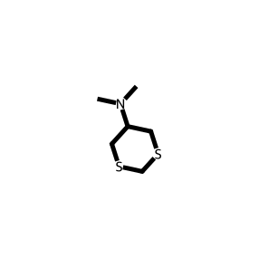 CN(C)C1CSCSC1